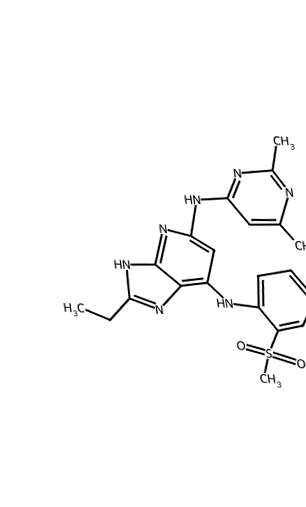 CCc1nc2c(Nc3ccccc3S(C)(=O)=O)cc(Nc3cc(C)nc(C)n3)nc2[nH]1